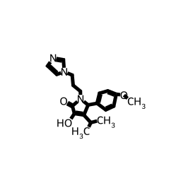 COc1ccc(C2C(C(C)C)=C(O)C(=O)N2CCCn2ccnc2)cc1